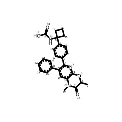 CC1Oc2nc(-c3ccc(C4(NC(=O)O)CCC4)cc3)c(-c3ccccc3)cc2N(C)C1=O